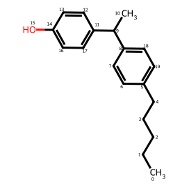 CCCCCc1ccc(C(C)c2ccc(O)cc2)cc1